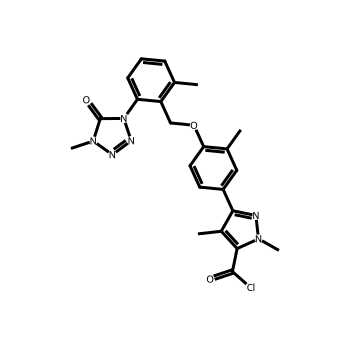 Cc1cc(-c2nn(C)c(C(=O)Cl)c2C)ccc1OCc1c(C)cccc1-n1nnn(C)c1=O